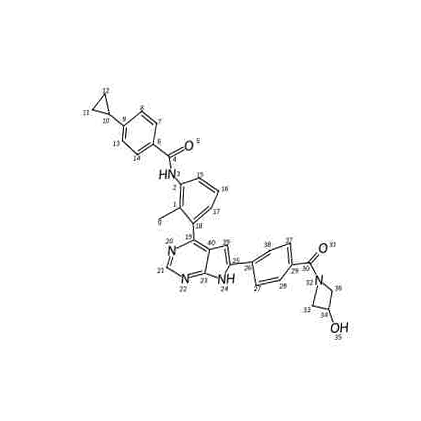 Cc1c(NC(=O)c2ccc(C3CC3)cc2)cccc1-c1ncnc2[nH]c(-c3ccc(C(=O)N4CC(O)C4)cc3)cc12